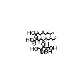 CCCCCCCC(=O)O.CCCCCCCCCC(=O)O.OC[C@@H](O)[C@H](O)[C@@H](O)CO